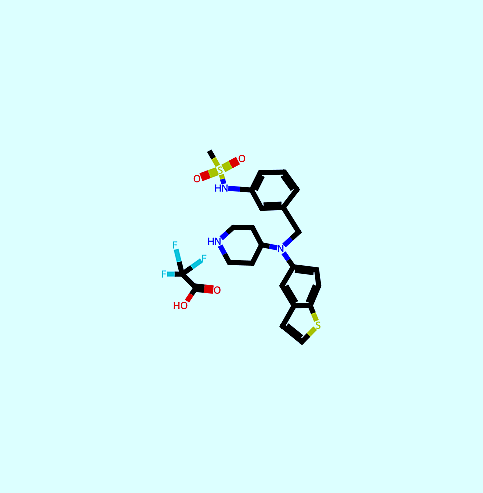 CS(=O)(=O)Nc1cccc(CN(c2ccc3sccc3c2)C2CCNCC2)c1.O=C(O)C(F)(F)F